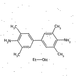 CCO.Cc1cc(-c2cc(C)c(N)c(C)c2)cc(C)c1N